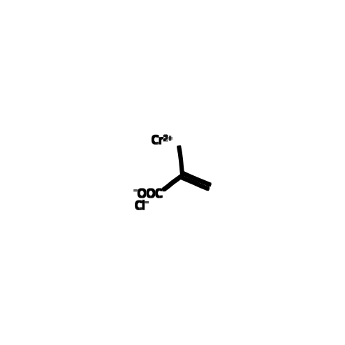 C=C(C)C(=O)[O-].[Cl-].[Cr+2]